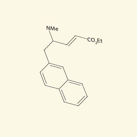 CCOC(=O)C=CC(Cc1ccc2ccccc2c1)NC